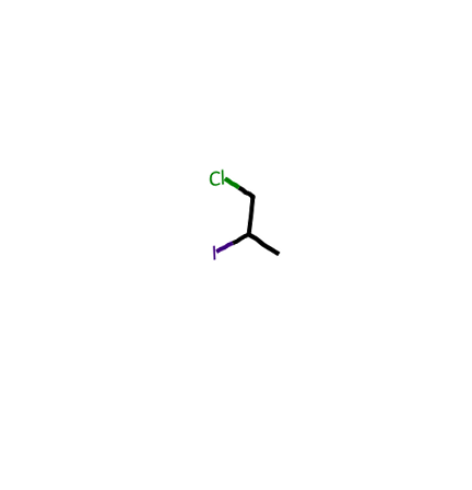 CC(I)CCl